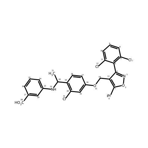 CC(C)c1onc(-c2c(Cl)cccc2Cl)c1COc1ccc(C(C)Nc2cccc(C(=O)O)c2)c(Cl)c1